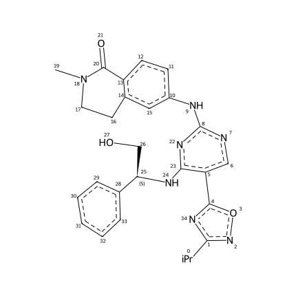 CC(C)c1noc(-c2cnc(Nc3ccc4c(c3)CCN(C)C4=O)nc2N[C@H](CO)c2ccccc2)n1